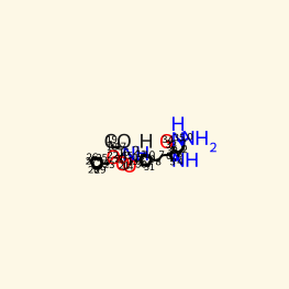 Nc1cc2[nH]cc(CCc3ccc(C(=O)N[C@@H](CCC(=O)O)C(=O)OCc4ccccc4)cc3)c2c(=O)[nH]1